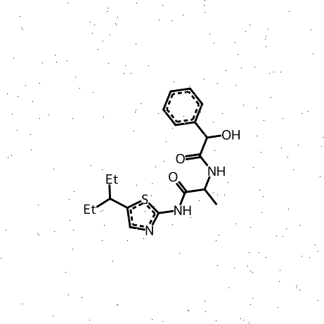 CCC(CC)c1cnc(NC(=O)C(C)NC(=O)C(O)c2ccccc2)s1